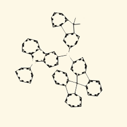 CC1(C)c2ccccc2-c2cc(N(c3ccc4c(c3)C3(c5ccccc5-c5ccccc53)c3ccccc3-4)c3ccc4c(c3)c3ccccc3n4-c3ccccc3)ccc21